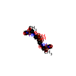 COc1ccc(C(=O)Nc2ccc(CCc3ccc(NC(=O)c4ccc(OC)c(S(=O)(=O)N5CCOCC5)c4)cc3S(=O)(=O)O)c(S(=O)(=O)O)c2)cc1S(=O)(=O)N1CCOCC1